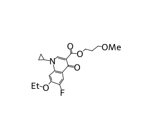 CCOc1cc2c(cc1F)c(=O)c(C(=O)OCCCOC)cn2C1CC1